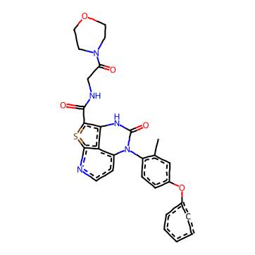 Cc1cc(Oc2ccccc2)ccc1N1C(=O)Nc2c(C(=O)NCC(=O)N3CCOCC3)sc3nccc1c23